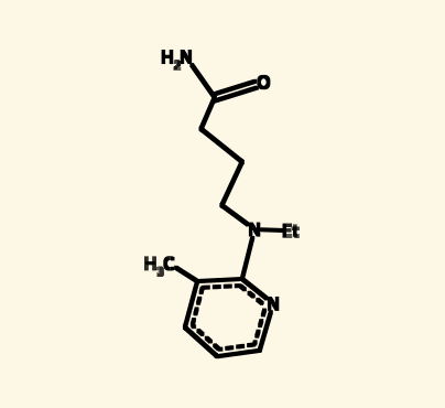 CCN(CCCC(N)=O)c1ncccc1C